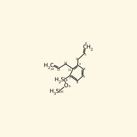 C=CCc1cccc([SiH2]O[SiH3])c1CC=C